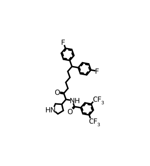 O=C(NC(C(=O)CCCCC(c1ccc(F)cc1)c1ccc(F)cc1)C1CCNC1)c1cc(C(F)(F)F)cc(C(F)(F)F)c1